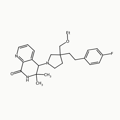 CCOCC1(CCc2ccc(F)cc2)CCN(C2c3cccnc3C(=O)NC2(C)C)C1